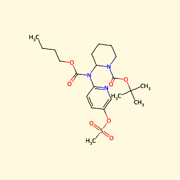 CCCCOC(=O)N(c1ccc(OS(C)(=O)=O)cn1)C1CCCCN1C(=O)OC(C)(C)C